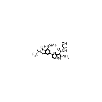 CSNc1cc(-c2ccn3nc(N)c(C(=O)NC(C)CO)c3n2)cc2c1C(=O)N(C(C)C(F)(F)F)C2